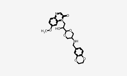 COc1ccc2ncc(=O)n(CC(O)C3OCC(NCc4ccc5c(c4)OCCO5)CO3)c2c1